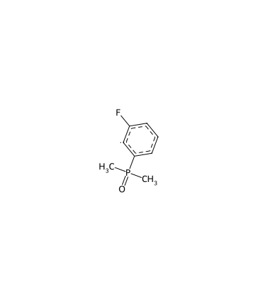 CP(C)(=O)c1[c]c(F)ccc1